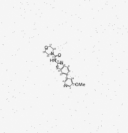 COc1cncc(-c2ccc3nc(NC(=O)N4CCOCC4)sc3c2)c1